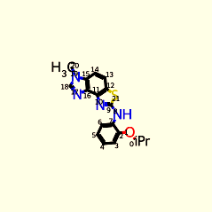 CC(C)Oc1ccccc1Nc1nc2c(ccc3c2ncn3C)s1